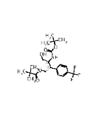 CC(C)(C)OC(=O)N[C@H](CO)[C@@H](COC(=O)C(C)(C)C)c1ccc(C(F)(F)F)cc1